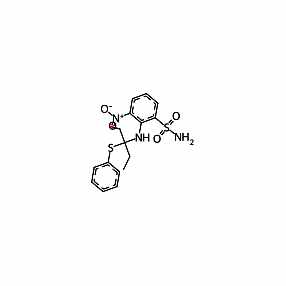 CCC(CC)(Nc1c([N+](=O)[O-])cccc1S(N)(=O)=O)Sc1ccccc1